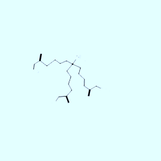 C=C(CCCCC(N)(CCCCC(=C)CC(C)(C)C)CCCCC(=C)CC(C)(C)C)CC(C)(C)C